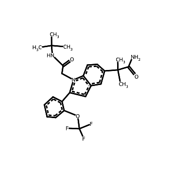 CC(C)(C)NC(=O)Cn1c(-c2ccccc2OC(F)(F)F)cc2cc(C(C)(C)C(N)=O)ccc21